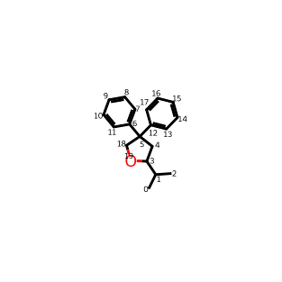 CC(C)C1CC(c2ccccc2)(c2ccccc2)CO1